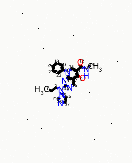 CCCN(c1ncc2c(=O)c(C(=O)NC)cn(-c3ccccc3)c2n1)n1ccnc1